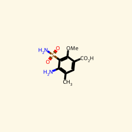 COc1c(C(=O)O)cc(C)c(N)c1S(N)(=O)=O